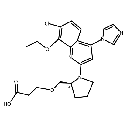 CCOc1c(Cl)ccc2c(-n3ccnc3)cc(N3CCC[C@H]3COCCC(=O)O)nc12